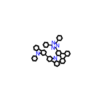 c1ccc(-c2nc(-c3ccccc3)nc(-c3cc(-n4c5ccccc5c5ccc(-c6ccc7c8ccccc8n(-c8ccccc8)c7c6)cc54)c4c5ccccc5c5ccccc5c4c3)n2)cc1